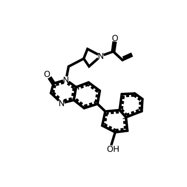 C=CC(=O)N1CC(Cn2c(=O)cnc3cc(-c4cc(O)cc5ccccc45)ccc32)C1